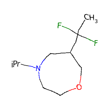 CC(C)N1CCOCC(C(C)(F)F)C1